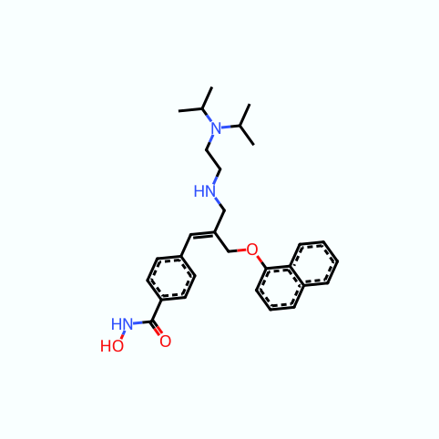 CC(C)N(CCNC/C(=C/c1ccc(C(=O)NO)cc1)COc1cccc2ccccc12)C(C)C